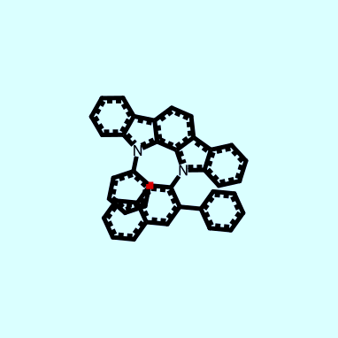 c1ccc(-c2cc3ccccc3cc2-n2c3ccccc3c3ccc4c5ccccc5n(-c5ccccc5)c4c32)cc1